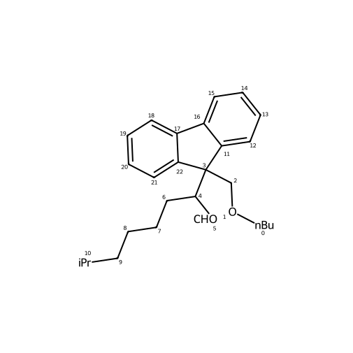 CCCCOCC1(C(C=O)CCCCC(C)C)c2ccccc2-c2ccccc21